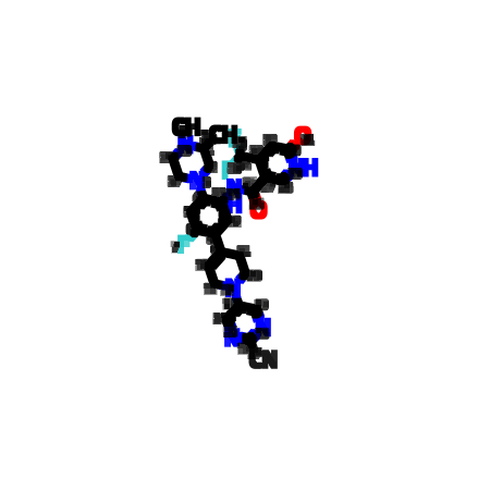 CC1CN(c2cc(F)c(C3=CCN(c4cnc(C#N)nc4)CC3)cc2NC(=O)c2c[nH]c(=O)cc2C(F)F)CCN1C